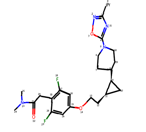 CC(C)c1noc(N2CCC([C@H]3C[C@H]3CCOc3cc(F)c(CC(=O)N(C)C)c(F)c3)CC2)n1